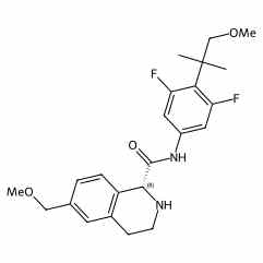 COCc1ccc2c(c1)CCN[C@H]2C(=O)Nc1cc(F)c(C(C)(C)COC)c(F)c1